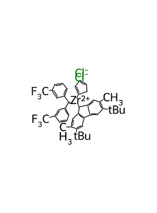 Cc1cc2c(cc1C(C)(C)C)-c1cc(C(C)(C)C)c(C)cc1[CH]2[Zr+2]([C]1=CC=CC1)=[C](c1cccc(C(F)(F)F)c1)c1cccc(C(F)(F)F)c1.[Cl-].[Cl-]